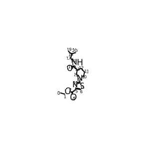 CCOC(=O)c1csc(N2CCCC(C(=O)NCC(C)C)C2)n1